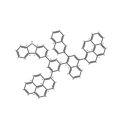 c1ccc2cc(-c3cc(-c4ccc5ccc6cccc7ccc4c5c67)c4ccccc4c3-c3cc(-c4ccc5oc6ccccc6c5c4)cc(-c4ccc5ccc6cccc7ccc4c5c67)c3)ccc2c1